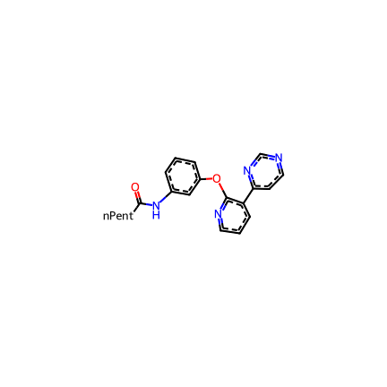 CCCCCC(=O)Nc1cccc(Oc2ncccc2-c2ccncn2)c1